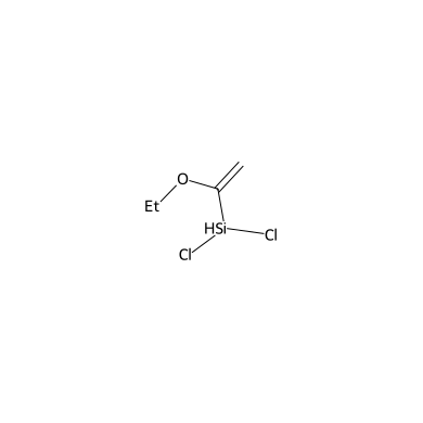 C=C(OCC)[SiH](Cl)Cl